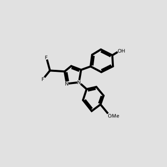 COc1ccc(-n2nc(C(F)F)cc2-c2ccc(O)cc2)cc1